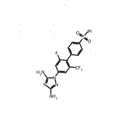 CC(C)S(=O)(=O)c1ccc(-c2c(F)cc(-n3nc(N)nc3N)cc2C(F)(F)F)cc1